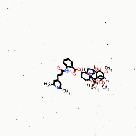 CCN1C[C@]2(OC(=O)c3ccccc3NC(=O)/C=C/c3cc(C)nc(C)c3)CC[C@H](OC)[C@]34C1[C@@H](C[C@H]23)[C@@]1(O)C[C@H](OC)[C@H]2C[C@@H]4[C@]1(O)[C@H]2OC